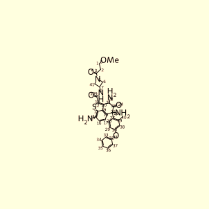 COCCC(=O)N1CC(NC(=O)c2sc3c(N)ccc4c3c2C(N)C(=O)C4(N)c2ccc(Oc3ccccc3)cc2C)C1